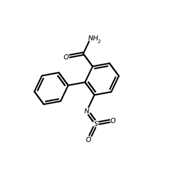 NC(=O)c1cccc(N=S(=O)=O)c1-c1ccccc1